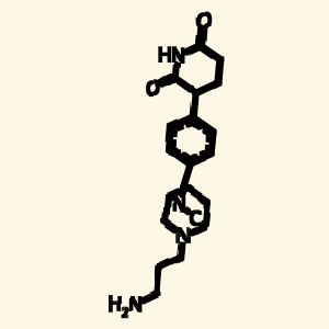 NCCCN1CC2CCC1CN2c1ccc(C2CCC(=O)NC2=O)cc1